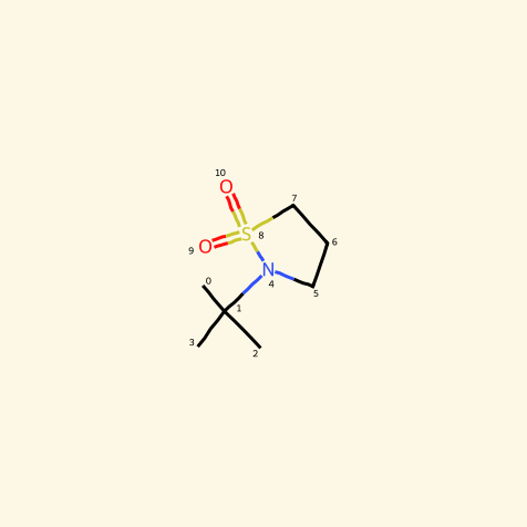 CC(C)(C)N1CCCS1(=O)=O